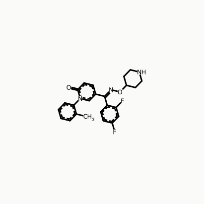 Cc1ccccc1-n1cc(/C(=N/OC2CCNCC2)c2ccc(F)cc2F)ccc1=O